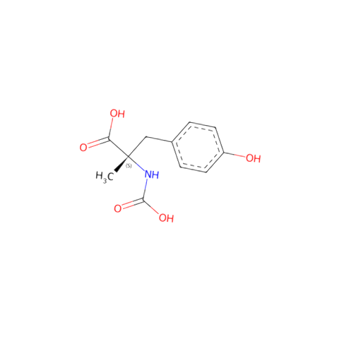 C[C@@](Cc1ccc(O)cc1)(NC(=O)O)C(=O)O